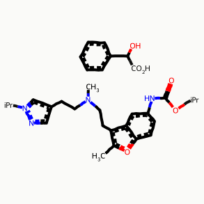 Cc1oc2ccc(NC(=O)OC(C)C)cc2c1CCN(C)CCc1cnn(C(C)C)c1.O=C(O)C(O)c1ccccc1